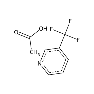 CC(=O)O.FC(F)(F)c1cccnc1